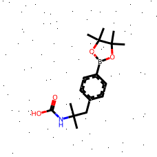 CC(C)(Cc1ccc(B2OC(C)(C)C(C)(C)O2)cc1)NC(=O)O